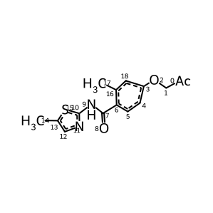 CC(=O)COc1ccc(C(=O)Nc2ncc(C)s2)c(C)c1